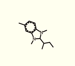 CCC(C)C1N(C)c2ccc(C)cc2N1C